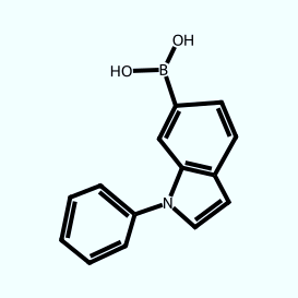 OB(O)c1ccc2ccn(-c3ccccc3)c2c1